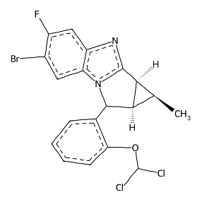 C[C@@H]1[C@@H]2c3nc4cc(F)c(Br)cc4n3C(c3ccccc3OC(Cl)Cl)[C@H]12